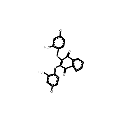 Cc1cc(Cl)ccc1OC1=C(Oc2ccc(Cl)cc2C)C(=O)c2ccccc2C1=O